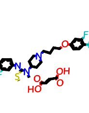 CSC(=Nc1cccc(F)c1)N(C)C1CCN(CCCCOc2ccc(F)c(F)c2)CC1.O=C(O)C=CC(=O)O